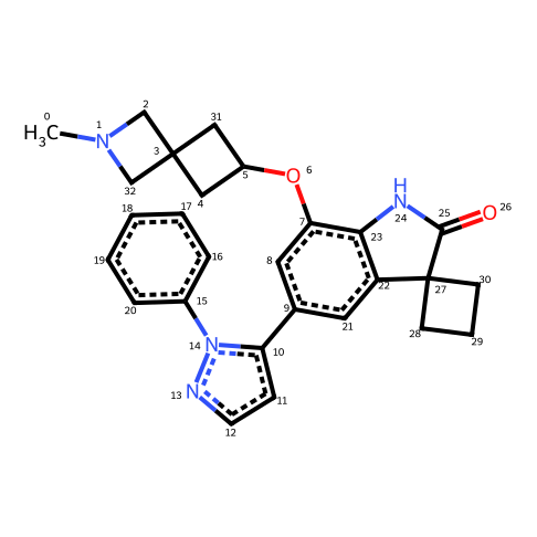 CN1CC2(CC(Oc3cc(-c4ccnn4-c4ccccc4)cc4c3NC(=O)C43CCC3)C2)C1